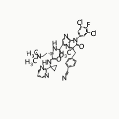 CN(C)CC[C@H](NC(=O)c1cnc2n1[C@](C)(Cc1ccc(C#N)cc1)C(=O)N2c1cc(Cl)c(F)c(Cl)c1)C(=O)NC1(c2ncccn2)CC1